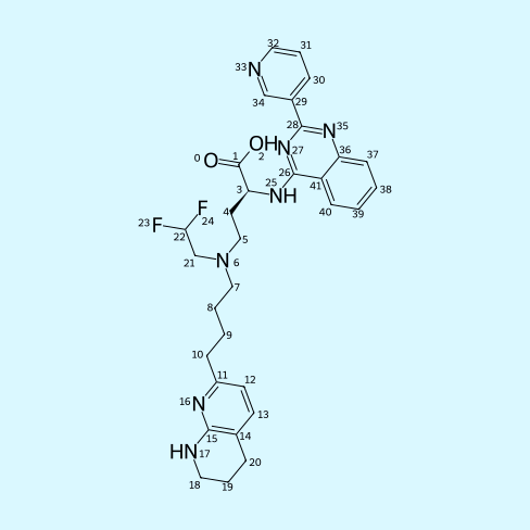 O=C(O)[C@H](CCN(CCCCc1ccc2c(n1)NCCC2)CC(F)F)Nc1nc(-c2cccnc2)nc2ccccc12